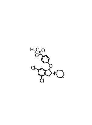 CS(=O)(=O)c1ccc(O[C@H]2c3cc(Cl)cc(Cl)c3C[C@@H]2N2C[CH]CCC2)cc1